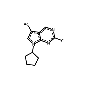 CC(=O)c1cn(C2CCCC2)c2nc(Cl)ncc12